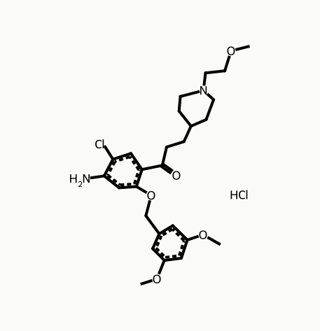 COCCN1CCC(CCC(=O)c2cc(Cl)c(N)cc2OCc2cc(OC)cc(OC)c2)CC1.Cl